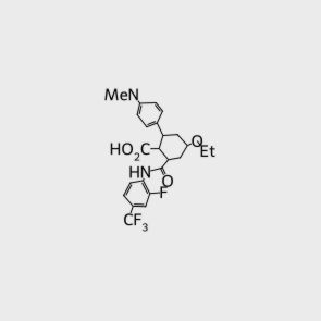 CCOC1CC(C(=O)Nc2ccc(C(F)(F)F)cc2F)C(C(=O)O)C(c2ccc(NC)cc2)C1